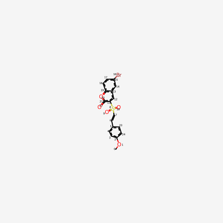 COc1ccc(C=CS(=O)(=O)c2cc3cc(Br)ccc3oc2=O)cc1